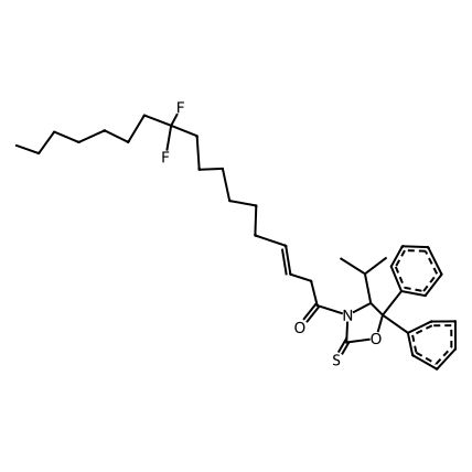 CCCCCCCC(F)(F)CCCCCCC=CCC(=O)N1C(=S)OC(c2ccccc2)(c2ccccc2)C1C(C)C